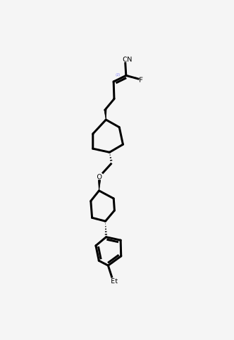 CCc1ccc([C@H]2CC[C@H](OC[C@H]3CC[C@H](CC/C=C(\F)C#N)CC3)CC2)cc1